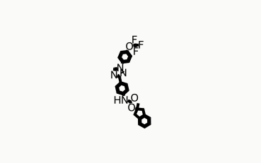 CC1(OC(=O)Nc2ccc(-c3ncn(-c4ccc(OC(F)(F)F)cc4)n3)cc2)Cc2ccccc2C1